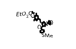 CCOC(=O)C(C)(C)Oc1c(C)cc(CC[C@H]2CN(C3COC3)CC2C(=O)c2ccc(SC)cc2)cc1C